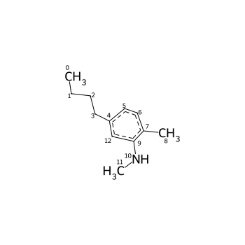 CCCCc1ccc(C)c(NC)c1